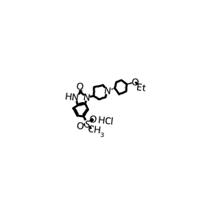 CCO[C@H]1CC[C@H](N2CCC(n3c(=O)[nH]c4ccc(S(C)(=O)=O)cc43)CC2)CC1.Cl